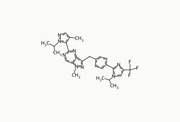 Cc1cnn(C(C)C)c1-c1ncc2c(n1)c(Cc1ccc(-c3nc(C(F)(F)F)cn3C(C)C)cc1)nn2C